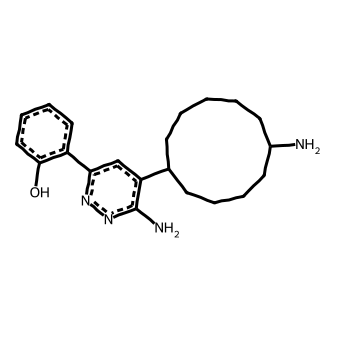 Nc1nnc(-c2ccccc2O)cc1C1CCCCCC(N)CCCC1